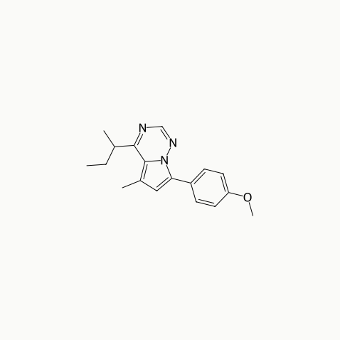 CCC(C)c1ncnn2c(-c3ccc(OC)cc3)cc(C)c12